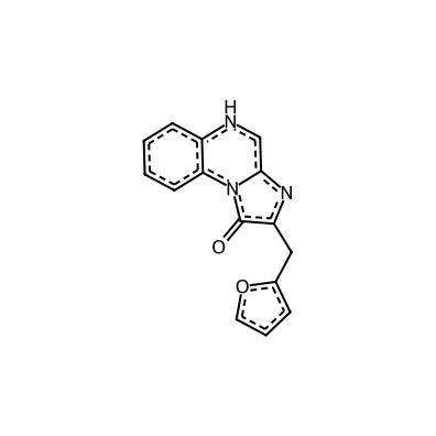 O=c1c(Cc2ccco2)nc2c[nH]c3ccccc3n1-2